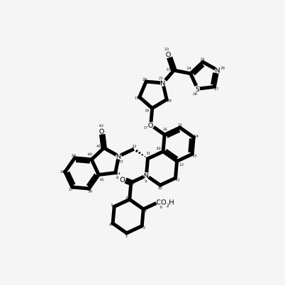 O=C(O)C1CCCCC1C(=O)N1CCc2cccc(OC3CCN(C(=O)c4cncs4)C3)c2[C@H]1CN1Cc2ccccc2C1=O